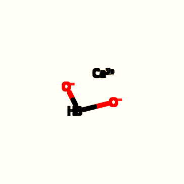 [Ca+2].[O-]B[O-]